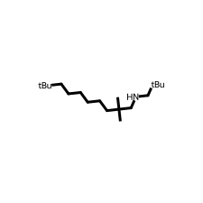 CC(C)(C)CCCCCCC(C)(C)CNCC(C)(C)C